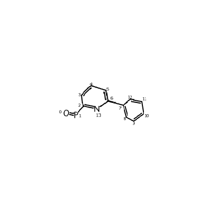 O=Pc1cccc(-c2ccccc2)n1